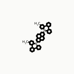 Cc1ccc2c(c1)-c1ccccc1-c1ccccc1N2c1cc2ccc3cc(N4c5ccccc5-c5ccccc5-c5cc(C)ccc54)cc4ccc(c1)c2c34